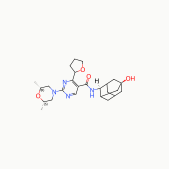 C[C@@H]1CN(c2ncc(C(=O)N[C@H]3C4CC5CC3C[C@@](O)(C5)C4)c(C3CCCO3)n2)C[C@H](C)O1